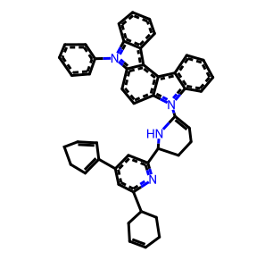 C1=CC(c2cc(C3CC=CCC3)nc(C3CCC=C(n4c5ccccc5c5c6c7ccccc7n(-c7ccccc7)c6ccc54)N3)c2)=CCC1